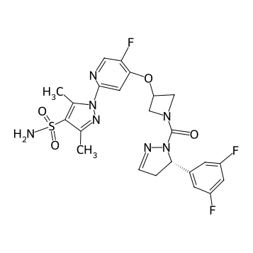 Cc1nn(-c2cc(OC3CN(C(=O)N4N=CC[C@H]4c4cc(F)cc(F)c4)C3)c(F)cn2)c(C)c1S(N)(=O)=O